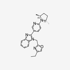 CCc1coc(Cn2c(-c3ccc(N4[C@@H](C)CC[C@@H]4C)nc3)nc3ccccc32)n1